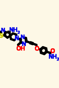 NC(=O)c1ccc(OCC#Cc2cnc(N3CCC4(CC3)Cc3scnc3[C@H]4N)c(CO)n2)cc1